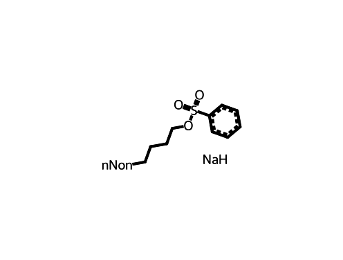 CCCCCCCCCCCCCOS(=O)(=O)c1ccccc1.[NaH]